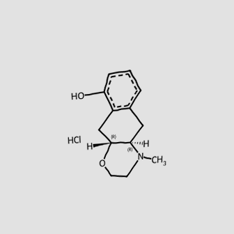 CN1CCO[C@@H]2Cc3c(O)cccc3C[C@H]21.Cl